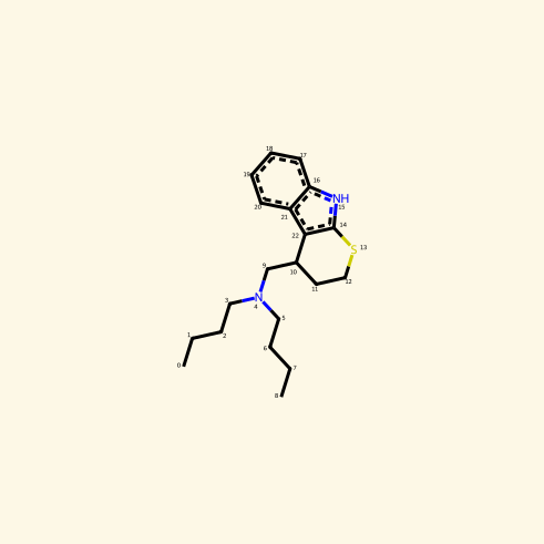 CCCCN(CCCC)CC1CCSc2[nH]c3ccccc3c21